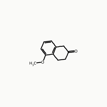 COc1cccc2c1CCC(=O)C2